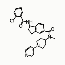 CN(C(=O)c1ccc2c(c1)CCC2NC(=O)c1ccccc1Cl)C1CCN(c2ccncc2)CC1